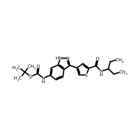 CCC(CC)NC(=O)c1cc(-c2n[nH]c3cc(NC(=O)OC(C)(C)C)ccc23)cs1